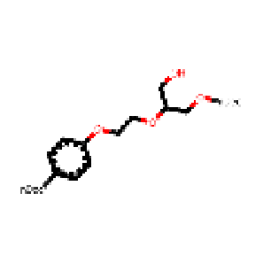 CCCCCCCCCCOCC(CO)OCCOc1ccc(CCCCCCCCCC)cc1